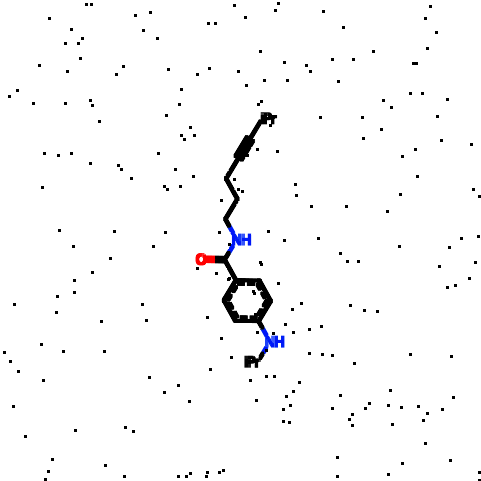 CC(C)C#CCCCNC(=O)c1ccc(NC(C)C)cc1